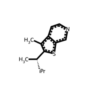 Cc1c([C@@H](C)C(C)C)sc2cnccc12